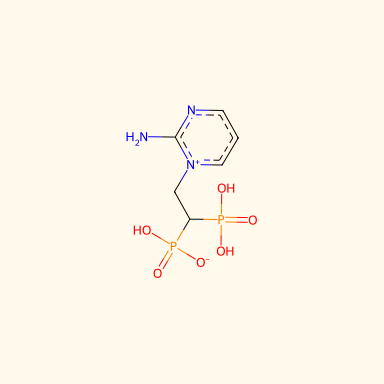 Nc1nccc[n+]1CC(P(=O)([O-])O)P(=O)(O)O